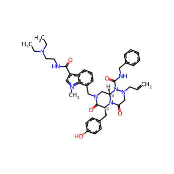 C=CCN1CC(=O)N2[C@@H](Cc3ccc(O)cc3)C(=O)N(Cc3cccc4c(C(=O)NCCN(CC)CC)cn(C)c34)C[C@@H]2N1C(=O)NCc1ccccc1